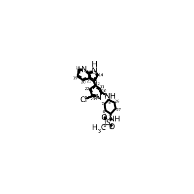 CS(=O)(=O)NC1CCC(Nc2cc(-c3c[nH]c4ncccc34)cc(Cl)n2)CC1